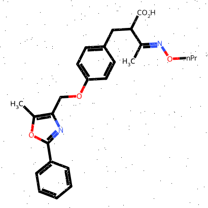 CCCO/N=C(\C)C(Cc1ccc(OCc2nc(-c3ccccc3)oc2C)cc1)C(=O)O